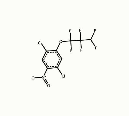 O=[N+]([O-])c1cc(Cl)c(OC(F)(F)C(F)(F)C(F)F)cc1Cl